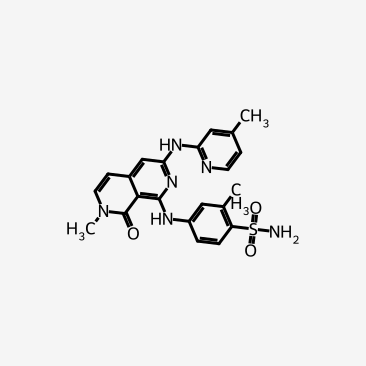 Cc1ccnc(Nc2cc3ccn(C)c(=O)c3c(Nc3ccc(S(N)(=O)=O)c(C)c3)n2)c1